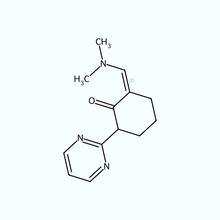 CN(C)/C=C1/CCCC(c2ncccn2)C1=O